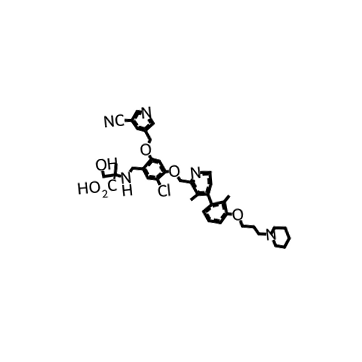 Cc1c(OCCCN2CCCCC2)cccc1-c1ccnc(COc2cc(OCc3cncc(C#N)c3)c(CN[C@@](C)(CO)C(=O)O)cc2Cl)c1C